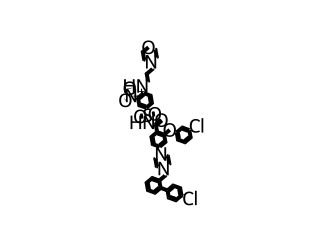 O=C(NS(=O)(=O)c1ccc(NCCCN2CCOCC2)c([N+](=O)[O-])c1)c1ccc(N2CCN(Cc3ccccc3-c3ccc(Cl)cc3)CC2)cc1Oc1cccc(Cl)c1